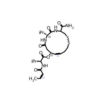 C/C=C\C(=O)NC(C(=O)O[C@@H]1/C=C\CCSSCC(C(N)=O)NC(=O)[C@H](C(C)C)NC(=O)C1)C(C)C